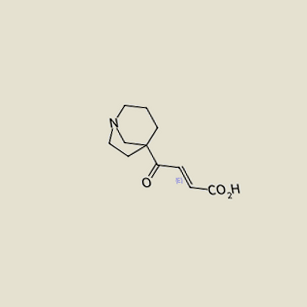 O=C(O)/C=C/C(=O)C12CCCN(CC1)C2